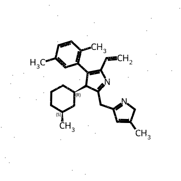 C=CC1=C(c2cc(C)ccc2C)C([C@@H]2CCC[C@H](C)C2)C(CC2=NCC(C)=C2)=N1